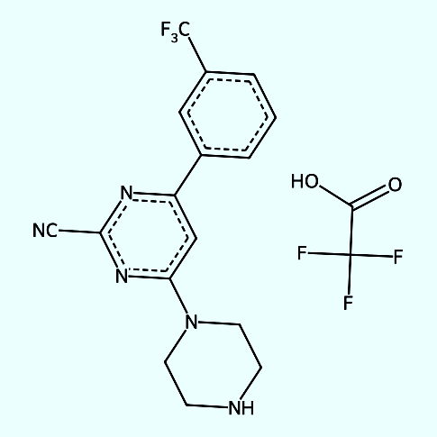 N#Cc1nc(-c2cccc(C(F)(F)F)c2)cc(N2CCNCC2)n1.O=C(O)C(F)(F)F